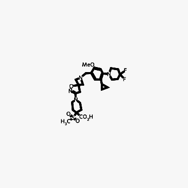 COc1cc(N2CCC(F)(F)CC2)c(C2CC2)cc1CN1CC2(CC(N3CCC(C(=O)O)(S(C)(=O)=O)CC3)=NO2)C1